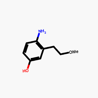 COCCc1cc(O)ccc1N